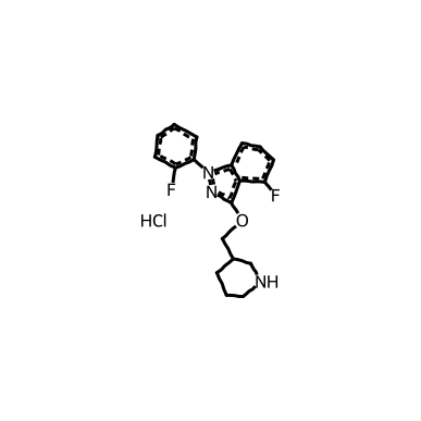 Cl.Fc1ccccc1-n1nc(OCC2CCCNC2)c2c(F)cccc21